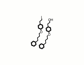 ICCc1ccc(OCCCCc2ccccc2)cc1.OCCc1ccc(OCCCCc2ccccc2)cc1